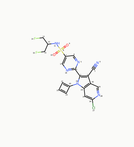 N#Cc1c(-c2ncc(S(=O)(=O)NC(CF)CF)cn2)n(C2=CC=C2)c2cc(Cl)ncc12